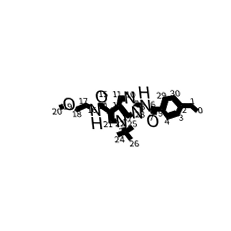 CCc1ccc(C(=O)Nc2ncc3c(C(=O)NCCOC)cn(C(C)(C)C)c3n2)cc1